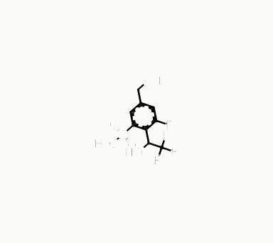 CCc1cc(F)c(C(O)C(F)(F)F)c(S(C)(=O)=O)c1